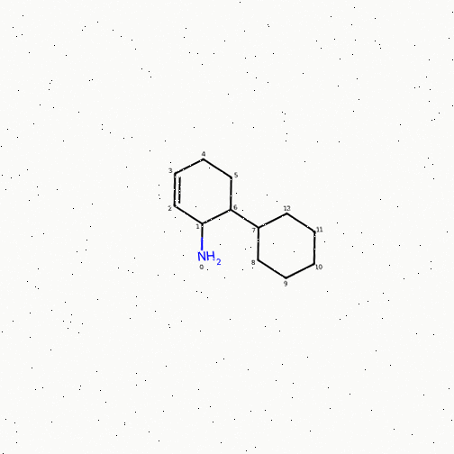 NC1C=CCCC1C1CCCCC1